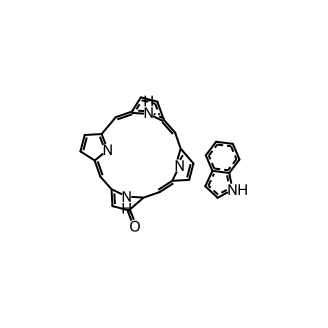 O=C1C=C2C=C3C=CC(=N3)C=c3ccc([nH]3)=CC3=NC(=CC1N2)C=C3.c1ccc2[nH]ccc2c1